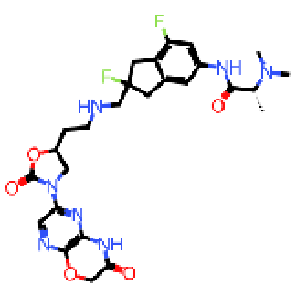 C[C@H](C(=O)Nc1cc(F)c2c(c1)CC(F)(CNCCC1CN(c3cnc4c(n3)NC(=O)CO4)C(=O)O1)C2)N(C)C